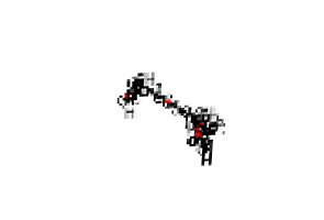 CO[C@@H]1C(N(C)C(=O)CCOCCOCCOCCOCCCc2ccc3c(c2)n(C)c(=O)n3C2CCC(=O)NC2=O)C[C@H]2O[C@]1(C)n1c3ccccc3c3c4c(c5c6ccccc6n2c5c31)C(=O)NC4